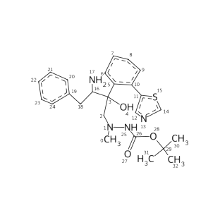 CN(CC(O)(c1ccccc1-c1cncs1)C(N)Cc1ccccc1)NC(=O)OC(C)(C)C